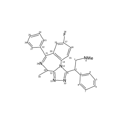 CNCC(c1ccccc1)c1nnc2n1-c1ccc(F)cc1C(c1ccccc1)=NC2C